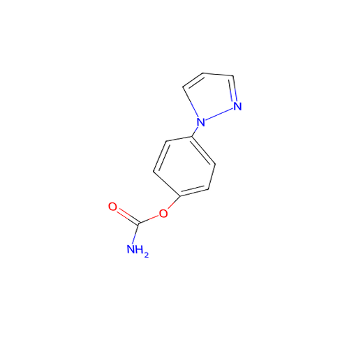 NC(=O)Oc1ccc(-n2cccn2)cc1